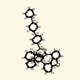 c1ccc(C2=NC(c3cccc4oc5cccc(-c6ccc7ccccc7c6)c5c34)=NC(c3ccc(-c4ccc(-c5ccccc5)cc4)cc3)N2)cc1